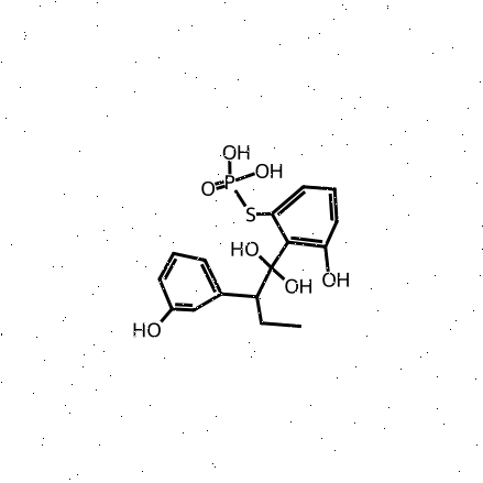 CCC(c1cccc(O)c1)C(O)(O)c1c(O)cccc1SP(=O)(O)O